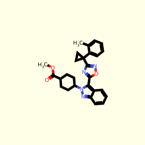 COC(=O)C1CCC(n2nc3ccccc3c2-c2nc(C3(c4ccccc4C)CC3)no2)CC1